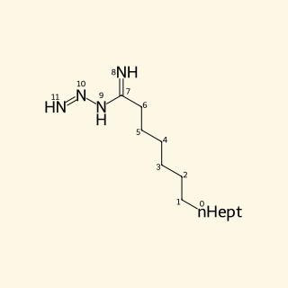 CCCCCCCCCCCCCC(=N)NN=N